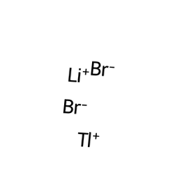 [Br-].[Br-].[Li+].[Tl+]